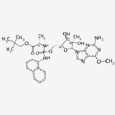 COc1nc(N)nc2c1ncn2C1O[C@H](COP(=O)(Nc2cccc3ccccc23)N[C@@H](C)C(=O)OCC(C)(C)C)[C@@H](O)[C@@]1(C)O